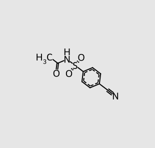 CC(=O)NS(=O)(=O)c1ccc(C#N)cc1